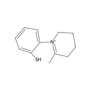 CC1=[N+](c2ccccc2S)CCCC1